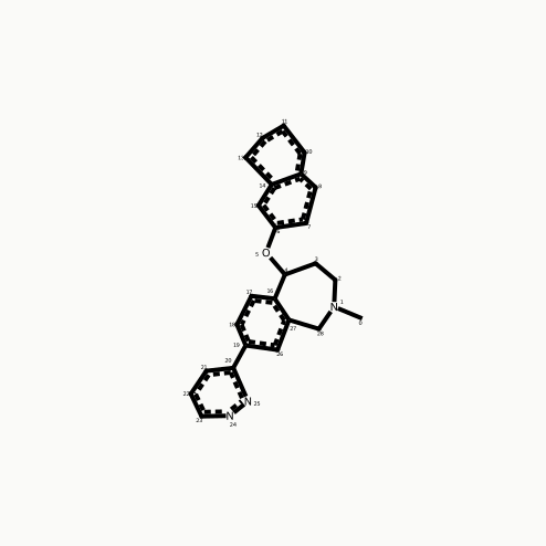 CN1CCC(Oc2ccc3ccccc3c2)c2ccc(-c3cccnn3)cc2C1